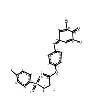 Cc1ccc(S(=O)(=O)N[C@@H](C)C(=O)Oc2ccc(N=C3C=C(Cl)C(=O)C(Cl)=C3)cc2)cc1